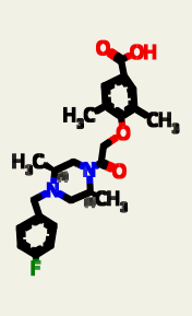 Cc1cc(C(=O)O)cc(C)c1OCC(=O)N1C[C@H](C)N(Cc2ccc(F)cc2)C[C@H]1C